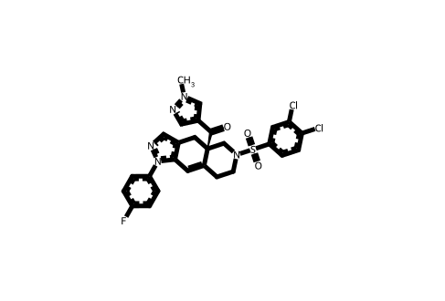 Cn1cc(C(=O)[C@]23Cc4cnn(-c5ccc(F)cc5)c4C=C2CCN(S(=O)(=O)c2ccc(Cl)c(Cl)c2)C3)cn1